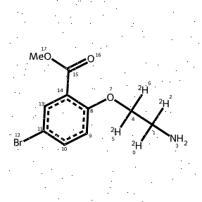 [2H]C([2H])(N)C([2H])([2H])Oc1ccc(Br)cc1C(=O)OC